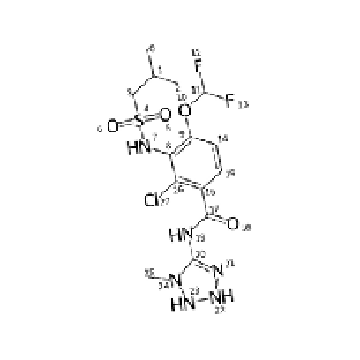 CC(C)CS(=O)(=O)Nc1c(OC(F)F)ccc(C(=O)NC2=NNNN2C)c1Cl